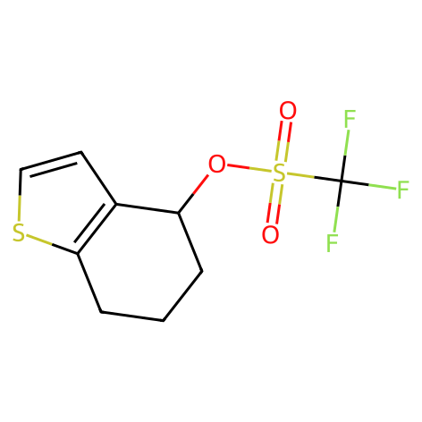 O=S(=O)(OC1CCCc2sccc21)C(F)(F)F